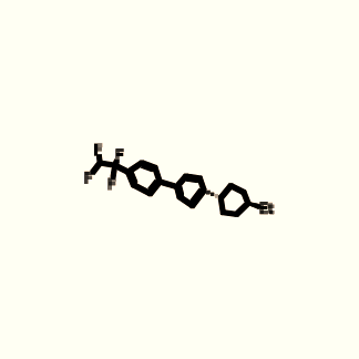 CC[C@H]1CC[C@H](c2ccc(-c3ccc(C(F)(F)C(F)F)cc3)cc2)CC1